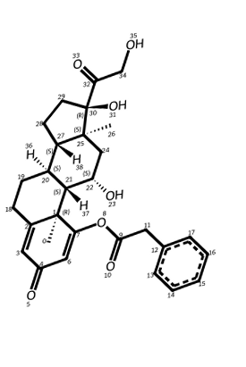 C[C@@]12C(=CC(=O)C=C1OC(=O)Cc1ccccc1)CC[C@@H]1[C@@H]2[C@@H](O)C[C@@]2(C)[C@H]1CC[C@]2(O)C(=O)CO